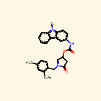 CCn1c2ccccc2c2cc(NC(=O)OC3CC(=O)N(Cc4ccc(OC)cc4OC)C3)ccc21